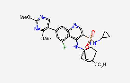 COc1ncc(-c2cc(F)c3c(NC45CCC(C(=O)O)(CC4)C5)c(S(=O)(=O)NC4CC4)cnc3c2)c(OC)n1